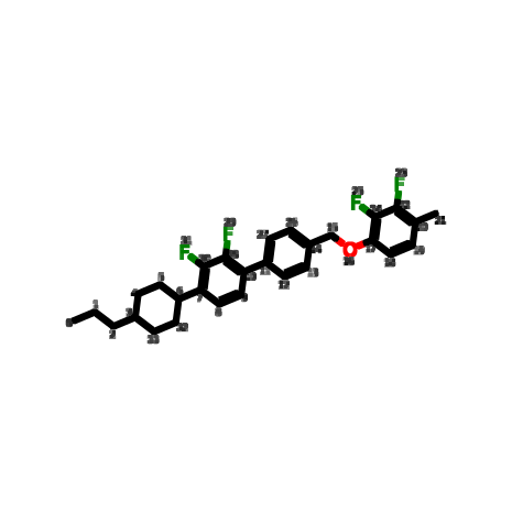 CCCC1CCC(c2ccc(-c3ccc(COc4ccc(C)c(F)c4F)cc3)c(F)c2F)CC1